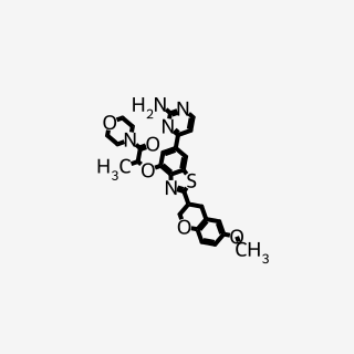 COc1ccc2c(c1)CC(c1nc3c(OC(C)C(=O)N4CCOCC4)cc(-c4ccnc(N)n4)cc3s1)CO2